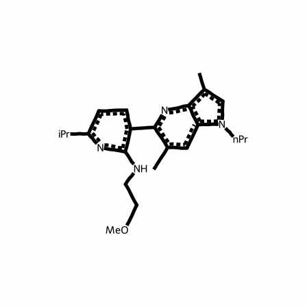 CCCn1cc(C)c2nc(-c3ccc(C(C)C)nc3NCCOC)c(C)cc21